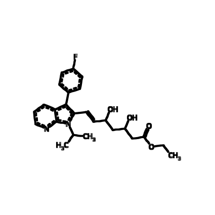 CCOC(=O)CC(O)CC(O)C=Cc1c(-c2ccc(F)cc2)c2cccnc2n1C(C)C